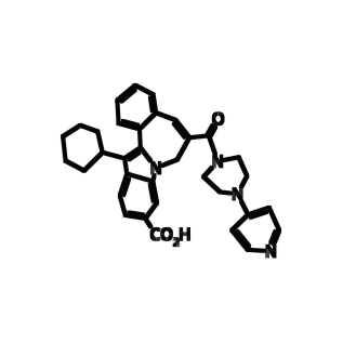 O=C(O)c1ccc2c(C3CCCCC3)c3n(c2c1)CC(C(=O)N1CCN(c2ccncc2)CC1)=Cc1ccccc1-3